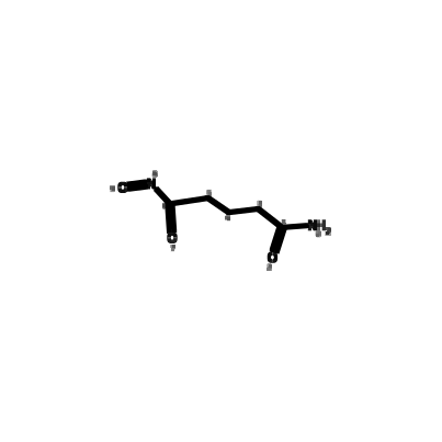 NC(=O)CCCC(=O)N=O